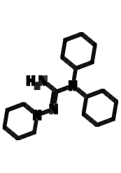 NC(=NN1CCCCC1)N(C1CCCCC1)C1CCCCC1